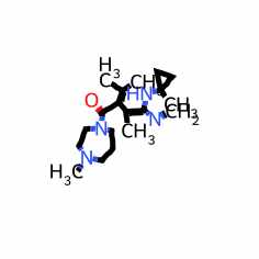 C=N/C(NC1(C)CC1)=C(\C)C(C(=O)N1CCCN(C)CC1)=C(C)C